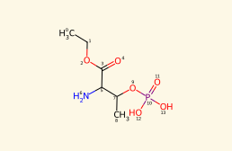 CCOC(=O)C(N)C(C)OP(=O)(O)O